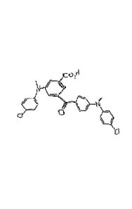 CN(c1ccc(Cl)cc1)c1ccc(C(=O)c2cc(C(=O)O)cc(N(C)c3ccc(Cl)cc3)c2)cc1